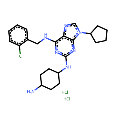 Cl.Cl.NC1CCC(Nc2nc(NCc3ccccc3Cl)c3ncn(C4CCCC4)c3n2)CC1